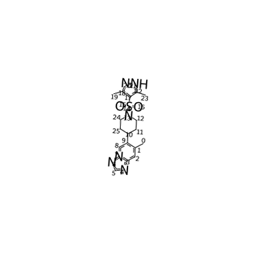 Cc1cc2ncnn2cc1C1CCN(S(=O)(=O)c2c(C)n[nH]c2C)CC1